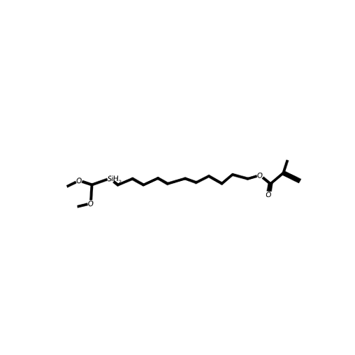 C=C(C)C(=O)OCCCCCCCCCCC[SiH2]C(OC)OC